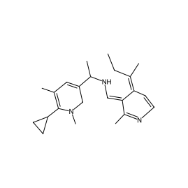 CC/C(C)=c1/ccnc(C)/c1=C/NC(C)C1=CC(C)=C(C2CC2)N(C)C1